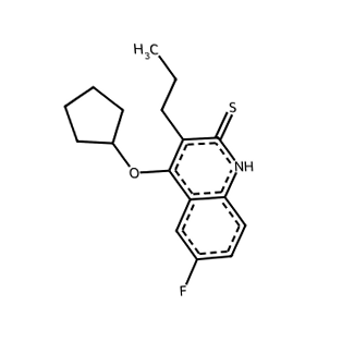 CCCc1c(OC2CCCC2)c2cc(F)ccc2[nH]c1=S